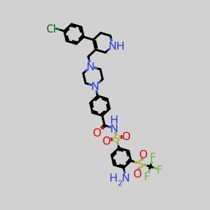 Nc1ccc(S(=O)(=O)NC(=O)c2ccc(N3CCN(CC4=C(c5ccc(Cl)cc5)CCNC4)CC3)cc2)cc1S(=O)(=O)C(F)(F)F